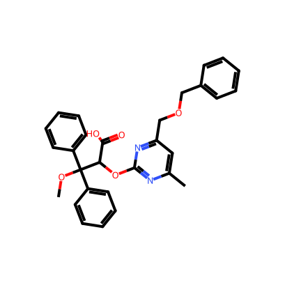 COC(c1ccccc1)(c1ccccc1)C(Oc1nc(C)cc(COCc2ccccc2)n1)C(=O)O